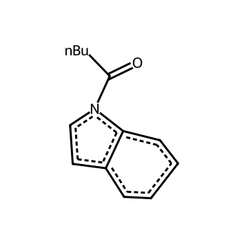 CCCCC(=O)n1ccc2ccccc21